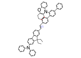 CCC1(CC)c2cc(/C=C/c3ccc(-c4ccc(-c5ccccc5)cc4N4C5=C(CCC=C5)Oc5ccccc54)cc3)ccc2-c2ccc(N(c3ccccc3)c3ccccc3)cc21